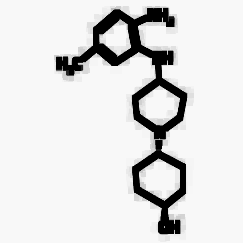 Cc1ccc(N)c(NC2CCN([C@H]3CC[C@H](O)CC3)CC2)c1